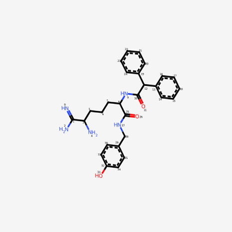 N=C(N)C(N)CCCC(NC(=O)C(c1ccccc1)c1ccccc1)C(=O)NCc1ccc(O)cc1